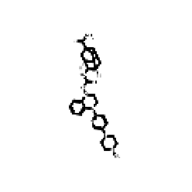 CC(C)(C)N1CCN(c2ccc(N3CCN(OC(=O)NC4[C@@H]5CC6C[C@H]4CC(C(N)=O)(C6)C5)c4ccccc43)nc2)CC1